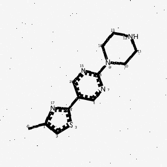 Cc1csc(-c2cnc(N3CCNCC3)nc2)n1